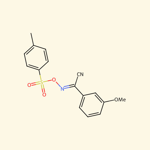 COc1cccc(C(C#N)=NOS(=O)(=O)c2ccc(C)cc2)c1